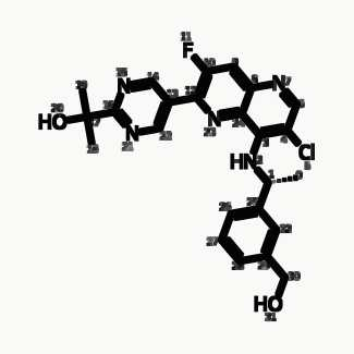 C[C@@H](Nc1c(Cl)cnc2cc(F)c(-c3cnc(C(C)(C)O)nc3)nc12)c1cccc(CO)c1